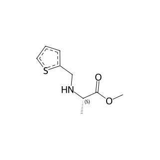 COC(=O)[C@H](C)NCc1cccs1